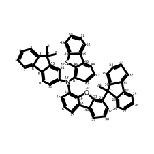 CC1(C)c2ccccc2-c2ccc(N(c3cccc4c3oc3c(C5(C)c6ccccc6-c6ccccc65)cccc34)c3cccc4c3sc3ccccc34)cc21